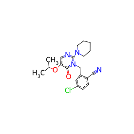 CC(C)Oc1cnc(N2CCCCC2)n(Cc2cc(Cl)ccc2C#N)c1=O